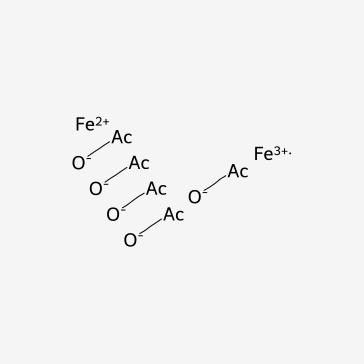 CC(=O)[O-].CC(=O)[O-].CC(=O)[O-].CC(=O)[O-].CC(=O)[O-].[Fe+2].[Fe+3]